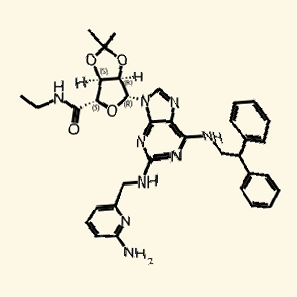 CCNC(=O)[C@H]1O[C@@H](n2cnc3c(NCC(c4ccccc4)c4ccccc4)nc(NCc4cccc(N)n4)nc32)[C@@H]2OC(C)(C)O[C@@H]21